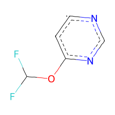 FC(F)Oc1c[c]ncn1